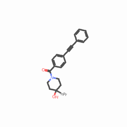 CCCC1(O)CCN(C(=O)c2ccc(C#Cc3ccccc3)cc2)CC1